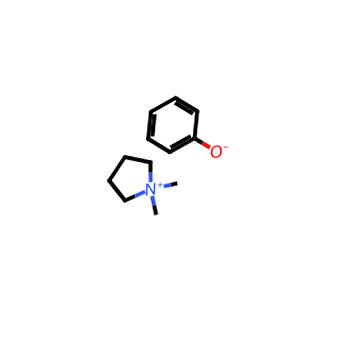 C[N+]1(C)CCCC1.[O-]c1ccccc1